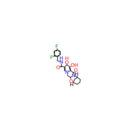 O=C(NCc1ccc(F)cc1F)C1=CN2CC3O[C@H]4CCC[C@H](C4)N3C(=O)C2=C(O)C1O